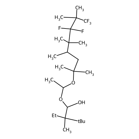 CCC(C)(C(O)OC(C)OC(C)(C)CC(C)C(C)(C)C(F)(F)C(C)(C)C(F)(F)F)C(C)(C)C